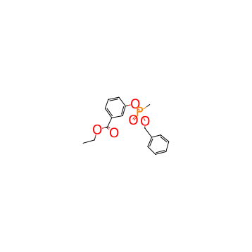 CCOC(=O)c1cccc(OP(C)(=O)OCc2ccccc2)c1